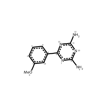 COc1cccc(-c2nc(N)nc(N)n2)c1